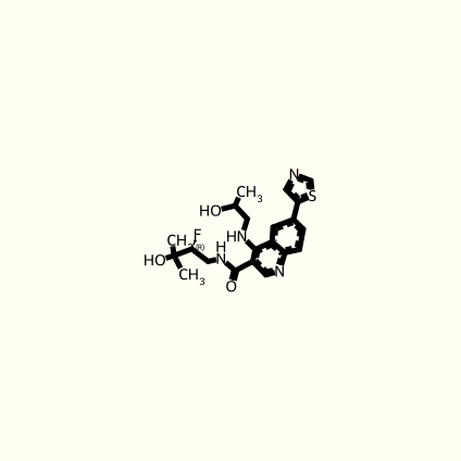 CC(O)CNc1c(C(=O)NC[C@@H](F)C(C)(C)O)cnc2ccc(-c3cncs3)cc12